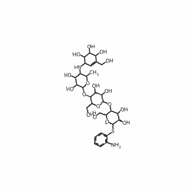 CC1OC(OC2C(CO)OC(OC3C(CO)OC(Sc4ccccc4N)C(O)C3O)C(O)C2O)C(O)C(O)C1NC1C=C(CO)C(O)C(O)C1O